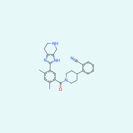 Cc1cc(C)c(-c2nc3c([nH]2)CNCC3)cc1C(=O)N1CCC(c2ccccc2C#N)CC1